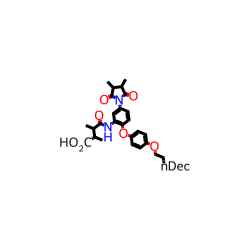 CCCCCCCCCCCCOc1ccc(Oc2ccc(N3C(=O)C(C)C(C)C3=O)cc2NC(=O)C(C)C(C)C(=O)O)cc1